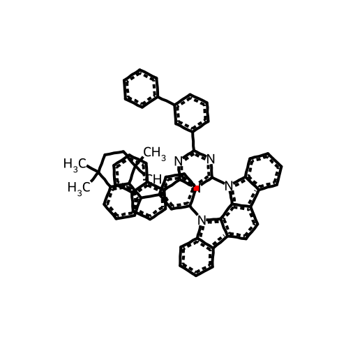 CC1(C)CCC(C)(C)c2c(-c3cccc(-n4c5ccccc5c5ccc6c7ccccc7n(-c7nc(-c8cccc(-c9ccccc9)c8)nc(-c8cccc9ccccc89)n7)c6c54)c3)cccc21